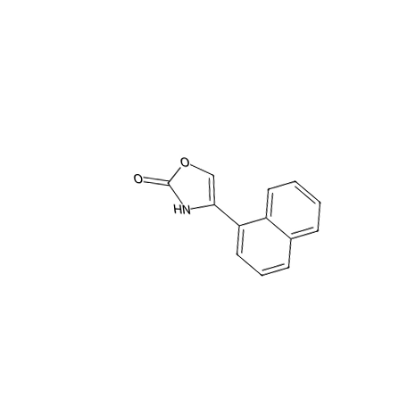 O=c1[nH]c(-c2cccc3ccccc23)co1